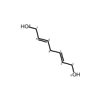 OC/C=C/C/C=C/CO